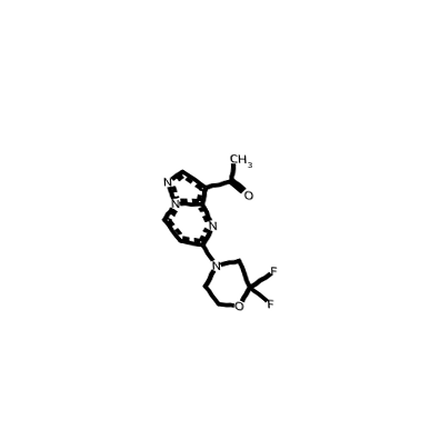 CC(=O)c1cnn2ccc(N3CCOC(F)(F)C3)nc12